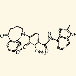 COC1C(=C=O)C(N2CCCC(=O)c3ccccc32)=CC=C1C(=O)Nc1cccc2[nH]c(C)nc12